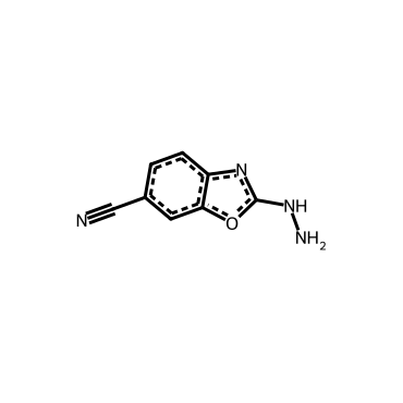 N#Cc1ccc2nc(NN)oc2c1